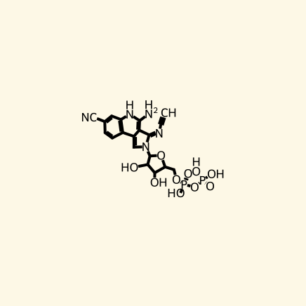 C#C/N=c1\c2c(N)[nH]c3cc(C#N)ccc3c-2cn1C1OC(COP(=O)(O)OP(=O)(O)O)C(O)C1O